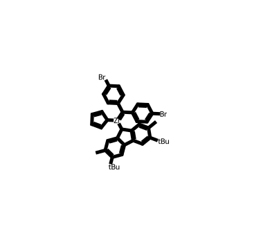 Cc1cc2c(cc1C(C)(C)C)-c1cc(C(C)(C)C)c(C)cc1[CH]2[Zr](=[C](c1ccc(Br)cc1)c1ccc(Br)cc1)[CH]1C=CC=C1